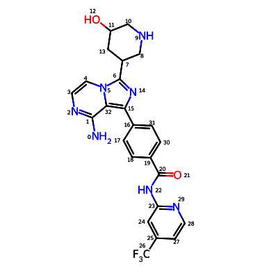 Nc1nccn2c(C3CNCC(O)C3)nc(-c3ccc(C(=O)Nc4cc(C(F)(F)F)ccn4)cc3)c12